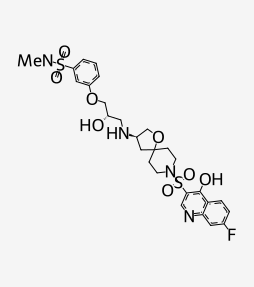 CNS(=O)(=O)c1cccc(OC[C@@H](O)CN[C@H]2COC3(CCN(S(=O)(=O)c4cnc5cc(F)ccc5c4O)CC3)C2)c1